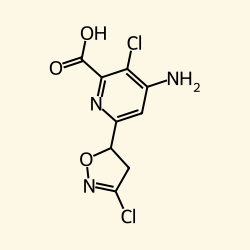 Nc1cc(C2CC(Cl)=NO2)nc(C(=O)O)c1Cl